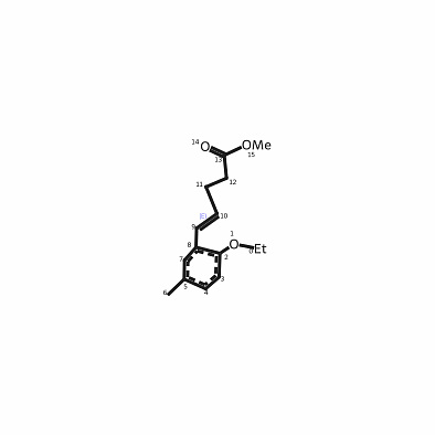 CCOc1ccc(C)cc1/C=C/CCC(=O)OC